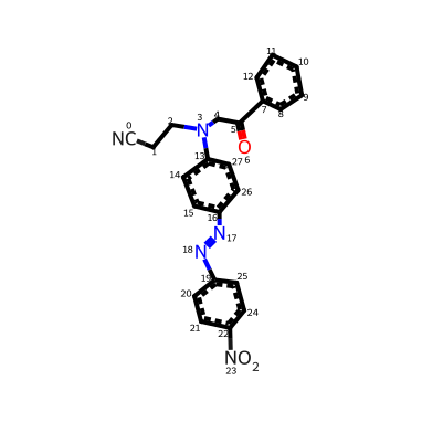 N#CCCN(CC(=O)c1ccccc1)c1ccc(N=Nc2ccc([N+](=O)[O-])cc2)cc1